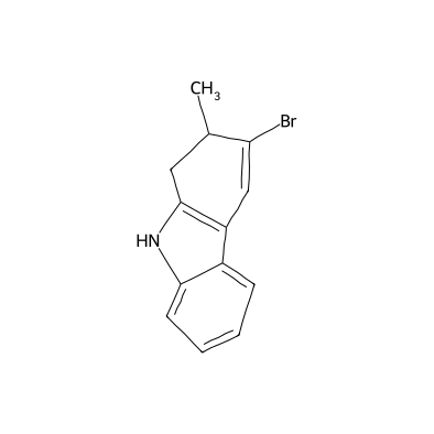 CC1Cc2[nH]c3ccccc3c2C=C1Br